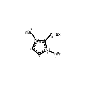 CCCCCCc1n(CCCC)cc[n+]1CCC